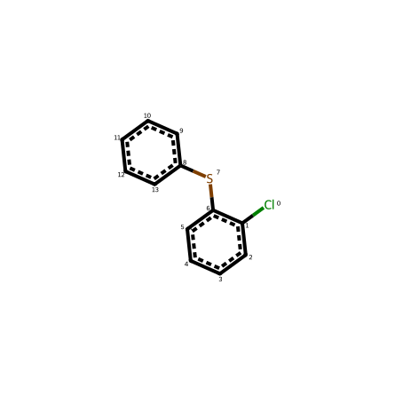 Clc1ccc[c]c1Sc1ccccc1